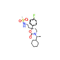 C[C@@H](C1CCCCC1)N1CCC(CCNS(C)(=O)=O)(c2ccc(F)cc2)OC1=O